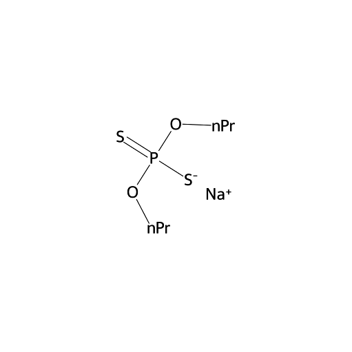 CCCOP(=S)([S-])OCCC.[Na+]